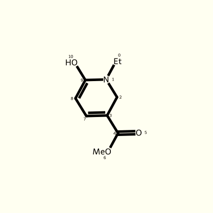 CCN1CC(C(=O)OC)=CC=C1O